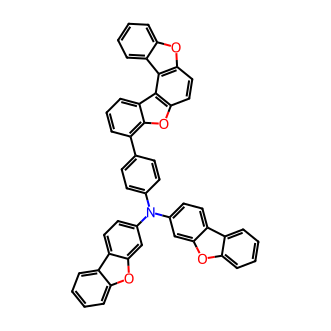 c1ccc2c(c1)oc1cc(N(c3ccc(-c4cccc5c4oc4ccc6oc7ccccc7c6c45)cc3)c3ccc4c(c3)oc3ccccc34)ccc12